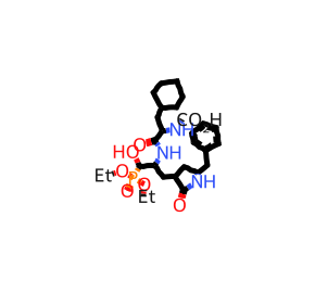 CCOP(=O)(OCC)C(O)C(CC1CC(Cc2ccccc2)NC1=O)NC(=O)C(CC1CCCCC1)NC(=O)O